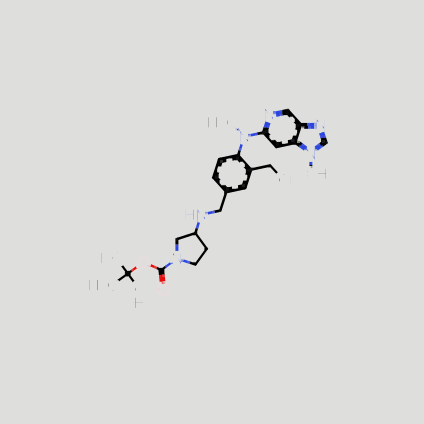 CCc1cc(CNC2CCN(C(=O)OC(C)(C)C)C2)ccc1N(C)c1cc2c(cn1)ncn2C